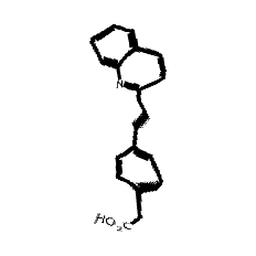 O=C(O)Cc1ccc(CCc2ccc3ccccc3n2)cc1